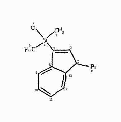 CC(C)C1C=C([Si](C)(C)Cl)c2ccccc21